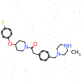 C[C@@H]1CN(Cc2ccc(CC(=O)N3CCC(Oc4ccc(F)cc4)CC3)cc2)CCN1